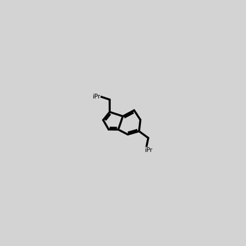 CC(C)CC1=CC2=CC=C(CC(C)C)C2=CC1